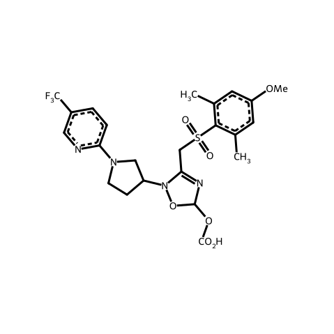 COc1cc(C)c(S(=O)(=O)CC2=NC(OC(=O)O)ON2C2CCN(c3ccc(C(F)(F)F)cn3)C2)c(C)c1